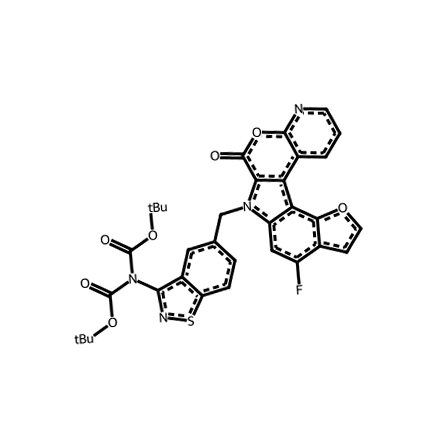 CC(C)(C)OC(=O)N(C(=O)OC(C)(C)C)c1nsc2ccc(Cn3c4cc(F)c5ccoc5c4c4c5cccnc5oc(=O)c43)cc12